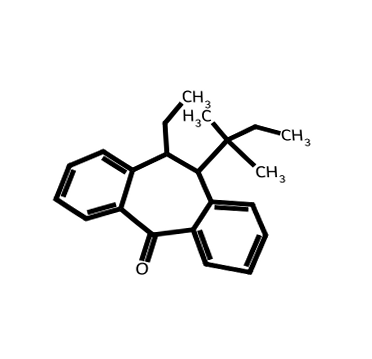 CCC1c2ccccc2C(=O)c2ccccc2C1C(C)(C)CC